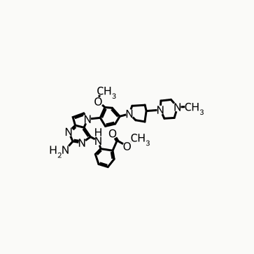 COC(=O)c1ccccc1Nc1nc(N)nc2ccn(-c3ccc(N4CCC(N5CCN(C)CC5)CC4)cc3OC)c12